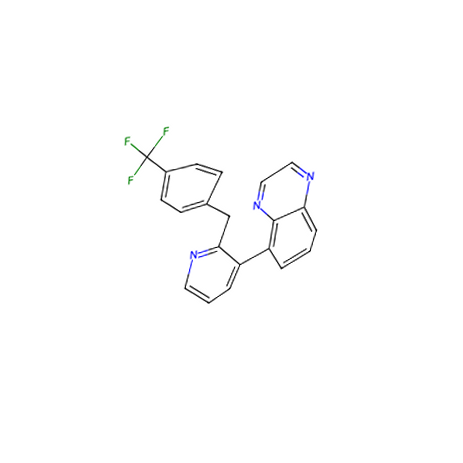 FC(F)(F)c1ccc(Cc2ncccc2-c2cccc3nccnc23)cc1